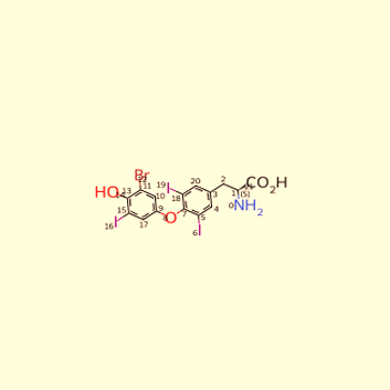 N[C@@H](Cc1cc(I)c(Oc2cc(Br)c(O)c(I)c2)c(I)c1)C(=O)O